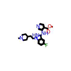 COC(=O)c1ccncc1NC1NN(CCC2CCN(C)CC2)c2ccc(F)cc21